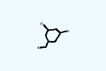 CCC1CC(Br)CC(CBr)C1